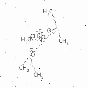 CCCCCCCCC(CCCCCC)COC(=O)CCCCCC(CCCCCC(=O)OCC(CCCCCC)CCCCCCCC)N(CCCN(C)C)C(=O)CC(F)(F)F